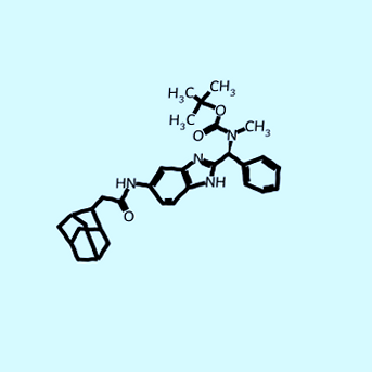 CN(C(=O)OC(C)(C)C)[C@@H](c1ccccc1)c1nc2cc(NC(=O)CC3C4CC5CC(C4)CC3C5)ccc2[nH]1